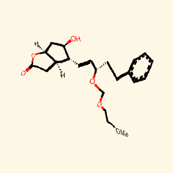 COCCOCO[C@H](/C=C/[C@@H]1[C@H]2CC(=O)O[C@H]2C[C@H]1O)CCc1ccccc1